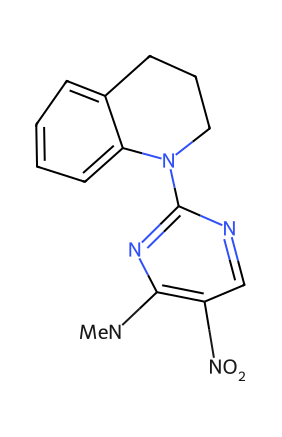 CNc1nc(N2CCCc3ccccc32)ncc1[N+](=O)[O-]